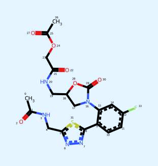 CC(=O)NCc1nnc(-c2ccc(F)cc2N2CC(CNC(=O)COC(C)=O)OC2=O)s1